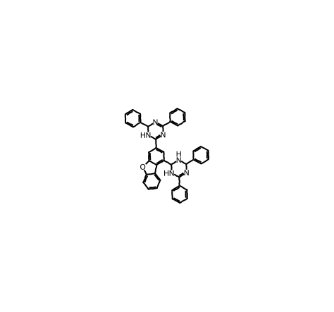 c1ccc(C2=NC(c3ccccc3)NC(c3cc(C4NC(c5ccccc5)=NC(c5ccccc5)N4)c4c(c3)oc3ccccc34)=N2)cc1